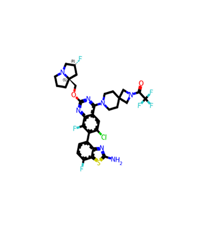 Nc1nc2c(-c3c(Cl)cc4c(N5CCC6(CC5)CN(C(=O)C(F)(F)F)C6)nc(OC[C@@]56CCCN5C[C@H](F)C6)nc4c3F)ccc(F)c2s1